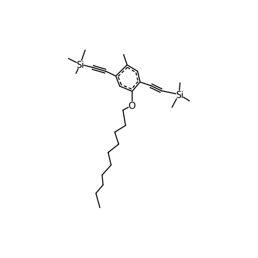 CCCCCCCCCCOc1cc(C#C[Si](C)(C)C)c(C)cc1C#C[Si](C)(C)C